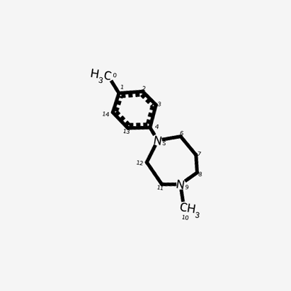 Cc1ccc(N2CCCN(C)CC2)cc1